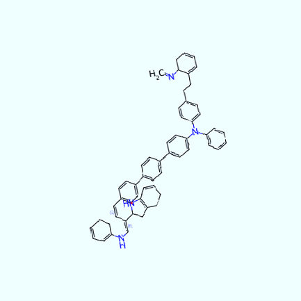 C=NC1CC=CC=C1CCc1ccc(N(c2ccccc2)c2ccc(-c3ccc(-c4ccc(/C=C\C(=C/NC5=CC=CCC5)C5CC6=C(C=CCC6)N5)cc4)cc3)cc2)cc1